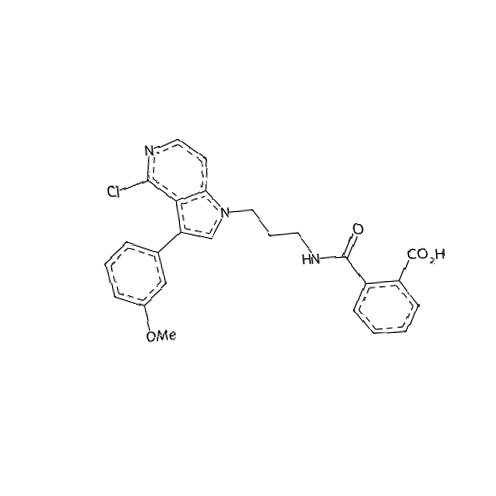 COc1cccc(-c2cn(CCCNC(=O)c3ccccc3C(=O)O)c3ccnc(Cl)c23)c1